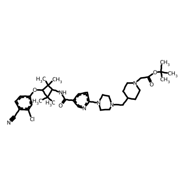 CC(C)(C)OC(=O)CN1CCC(CN2CCN(c3ccc(C(=O)NC4C(C)(C)C(Oc5ccc(C#N)c(Cl)c5)C4(C)C)cn3)CC2)CC1